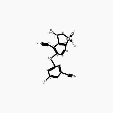 N#Cc1cc(F)cc(Oc2ccc3c(c2C#N)[C@@H](O)CS3(=O)=O)c1